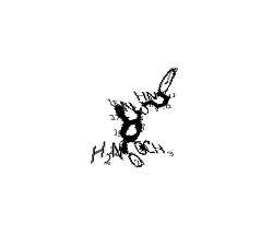 COc1cc2c(OCC3CCCC(=O)N3)nccc2cc1C(N)=O